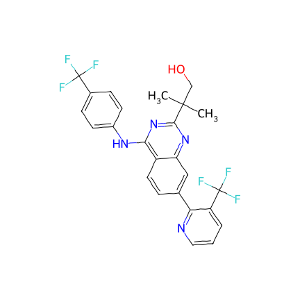 CC(C)(CO)c1nc(Nc2ccc(C(F)(F)F)cc2)c2ccc(-c3ncccc3C(F)(F)F)cc2n1